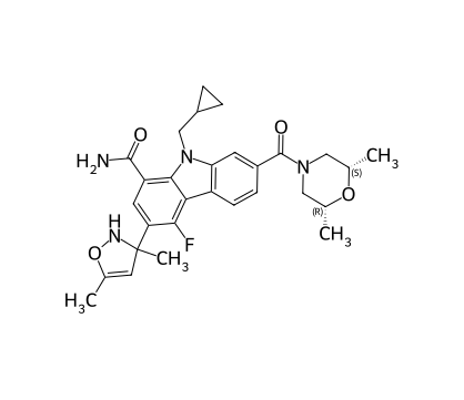 CC1=CC(C)(c2cc(C(N)=O)c3c(c2F)c2ccc(C(=O)N4C[C@@H](C)O[C@@H](C)C4)cc2n3CC2CC2)NO1